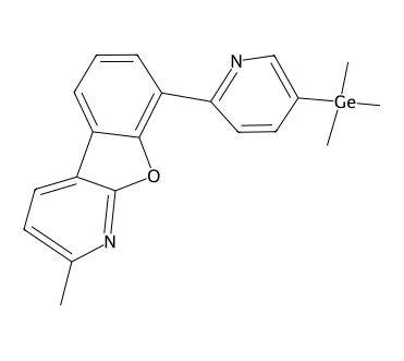 Cc1ccc2c(n1)oc1c(-c3cc[c]([Ge]([CH3])([CH3])[CH3])cn3)cccc12